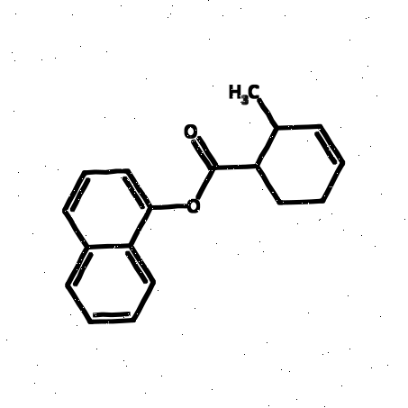 CC1C=CCCC1C(=O)Oc1cccc2ccccc12